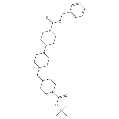 CC(C)(C)OC(=O)N1CCC(CN2CCN(C3CCN(C(=O)OCc4ccccc4)CC3)CC2)CC1